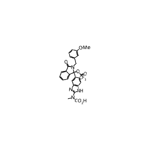 COc1cccc(CN2C(=O)c3ccccc3C2(OC(=O)C(F)(F)F)c2ccc3[nH]c(N(C)C(=O)O)nc3c2)c1